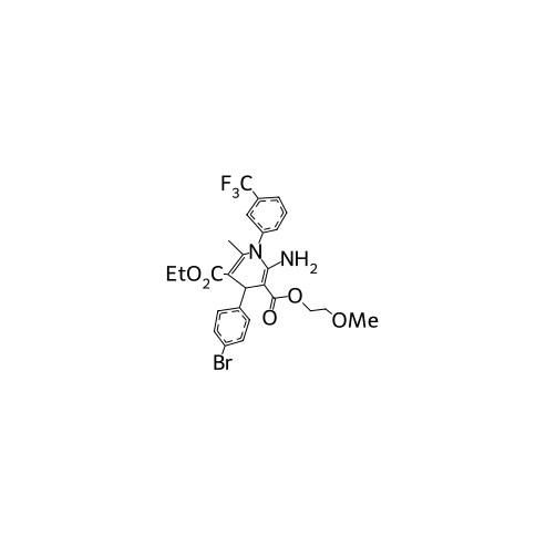 CCOC(=O)C1=C(C)N(c2cccc(C(F)(F)F)c2)C(N)=C(C(=O)OCCOC)C1c1ccc(Br)cc1